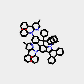 Cc1ccc(C2(c3ccccc3)c3cc(N(c4ccccc4)c4ncc(C)cc4-c4ccccc4)ccc3-c3c(N(c4ccccc4)c4ncc(C)cc4-c4ccccc4)cc4c5c6ccccc6c6ccccc6c5n(-c5ccccc5)c4c32)cc1